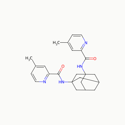 Cc1ccnc(C(=O)NC23CC4CC(C2)CC(NC(=O)c2cc(C)ccn2)(C4)C3)c1